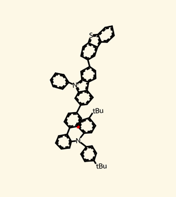 CC(C)(C)c1ccc(N(c2ccc(C(C)(C)C)cc2)c2ccccc2-c2ccc(-c3ccc4c5ccc(-c6ccc7sc8ccccc8c7c6)cc5n(-c5ccccc5)c4c3)cc2)cc1